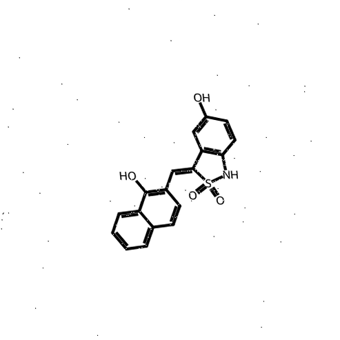 O=S1(=O)Nc2ccc(O)cc2C1=Cc1ccc2ccccc2c1O